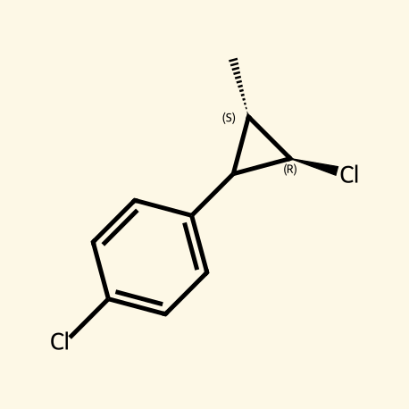 C[C@H]1C(c2ccc(Cl)cc2)[C@@H]1Cl